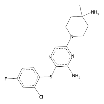 CC1(N)CCN(c2cnc(Sc3ccc(F)cc3Cl)c(N)n2)CC1